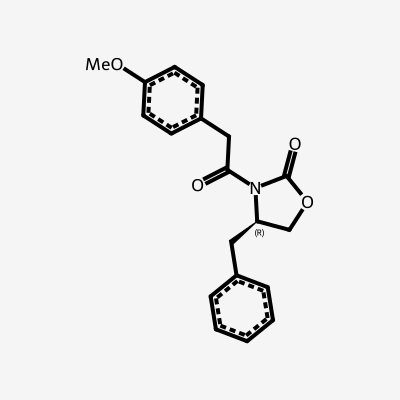 COc1ccc(CC(=O)N2C(=O)OC[C@H]2Cc2ccccc2)cc1